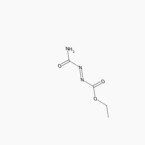 CCOC(=O)/N=N/C(N)=O